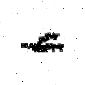 COc1ccc(C(=O)O)cc1N(C/C=C(\C)CC/C=C(\C)CCC=C(C)C)C/C=C(\C)CC/C=C(\C)CCC=C(C)C